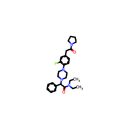 CCN(CC)C(=O)C(c1ccccc1)N1CCN(c2ccc(CC(=O)N3CCCC3)cc2F)CC1